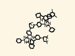 Cc1cc(C)cc(-c2ccc3c(c2)c2ccccc2n3-c2cc(-c3cccc(-c4ccc(-c5nc(-c6ccccc6)nc(-c6ccccc6)n5)c(-n5c6ccccc6c6cc(-c7cc(C)cc(C)c7)ccc65)c4)c3)ccc2-c2nc(-c3ccccc3)nc(-c3ccccc3)n2)c1